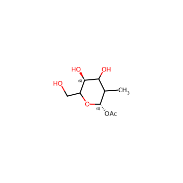 CC(=O)O[C@@H]1OC(CO)[C@@H](O)C(O)C1C